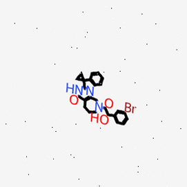 O=C([C@H](O)c1cccc(Br)c1)N1CCCc2c(nc(C3(c4ccccc4)CC3)[nH]c2=O)C1